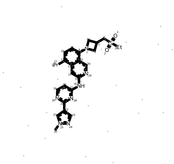 CCS(=O)(=O)CC1CN(c2ccc(C(C)C)c3cc(Nc4ccnc(-c5cnn(C)c5)n4)ncc23)C1